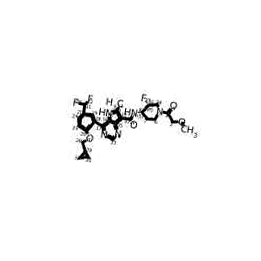 COCC(=O)N1CC[C@H](NC(=O)c2c(C)[nH]c3c(-c4cc(C(F)F)ccc4OCC4CC4)ncnc23)[C@H](F)C1